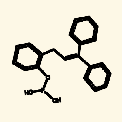 OP(O)Oc1ccccc1CC=C(c1ccccc1)c1ccccc1